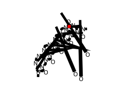 CN1C(=O)N2CN3C(=O)N4CN5C(=O)N6CN7C(=O)N8CN9C(=O)N(C)C%10C9N9CN%11C(=O)N(CN%12C(=O)N(CN%13C(=O)N(CN%14C(=O)N(CN%10C9=O)C1C2%14)C3C4%13)C5C6%12)C7C8%11